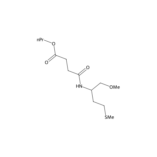 CCCOC(=O)CCC(=O)NC(CCSC)COC